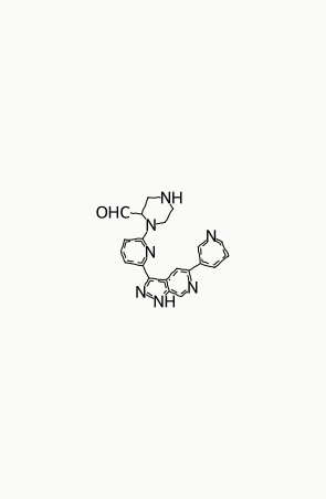 O=CC1CNCCN1c1cccc(-c2n[nH]c3cnc(-c4cccnc4)cc23)n1